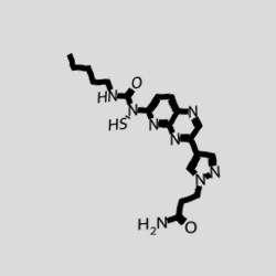 CCCCCNC(=O)N(S)c1ccc2ncc(-c3cnn(CCC(N)=O)c3)nc2n1